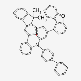 CC1(C)c2ccccc2-c2cc(-c3ccccc3N(c3ccc(-c4ccccc4)cc3)c3cccc(-c4cccc5oc6ccccc6c45)c3)ccc21